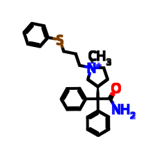 C[N+]1(CCCSc2ccccc2)CC[C@@H](C(C(N)=O)(c2ccccc2)c2ccccc2)C1